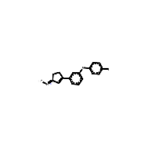 O/N=C1/C=C(c2cccc(Sc3ccc(F)cc3)c2)CC1